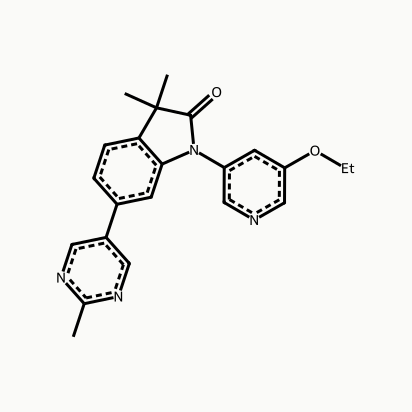 CCOc1cncc(N2C(=O)C(C)(C)c3ccc(-c4cnc(C)nc4)cc32)c1